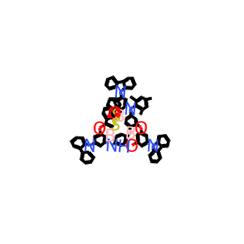 Cc1cc(C)c(N2c3cc4c(cc3B3c5sc6ccccc6c5Oc5cc(-n6c7ccccc7c7ccccc76)cc2c53)B2c3cc5c(cc3Oc3cc(-n6c7ccccc7c7ccccc76)cc(c32)O4)Nc2cc(-n3c4ccccc4c4ccccc43)cc3c2B5c2sc4ccccc4c2O3)c(C)c1